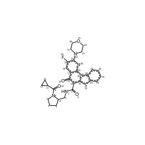 O=C(NCC1CCCN1C(=O)C1CC1)c1c(=O)c2cc(F)c(N3CCOCC3)nc2n2c1sc1ccccc12